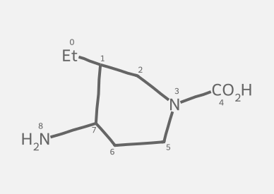 CCC1CN(C(=O)O)CCC1N